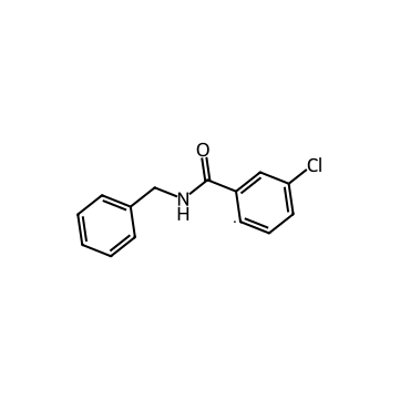 O=C(NCc1ccccc1)c1[c]ccc(Cl)c1